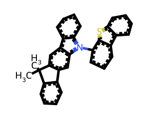 CC1(C)c2ccccc2-c2cc3c(cc21)c1ccccc1n3-c1cccc2c1sc1ccccc12